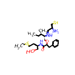 CC[C@H](C)[C@@H](COC(Cc1ccccc1)C(=O)NC(CO)CCSC)NCC(N)CS